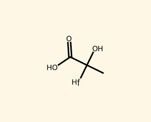 C[C](O)([Hf])C(=O)O